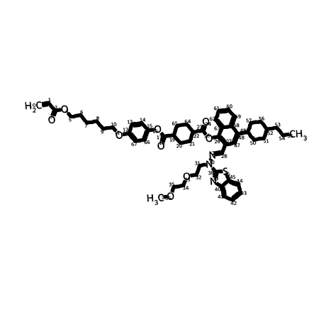 C=CC(=O)OCCCCCCOc1ccc(OC(=O)C2CCC(C(=O)Oc3c(/C=N/N(CCOCCOC)c4nc5ccccc5s4)cc(C4CCC(CCC)CC4)c4ccccc34)CC2)cc1